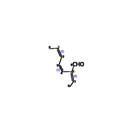 C\C=C/C=C\C(C=O)=C/C